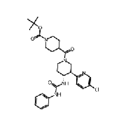 CC(C)(C)OC(=O)N1CCC(C(=O)N2CC[C@@H](NC(=O)Nc3ccccc3)[C@H](c3ccc(Cl)cn3)C2)CC1